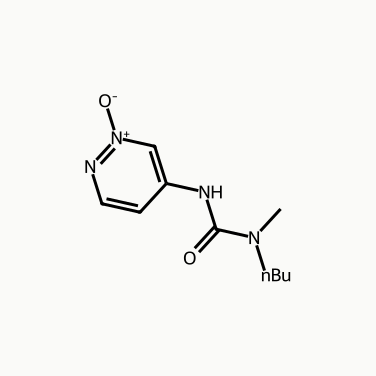 CCCCN(C)C(=O)Nc1ccn[n+]([O-])c1